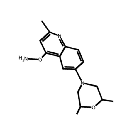 Cc1cc(ON)c2cc(N3CC(C)OC(C)C3)ccc2n1